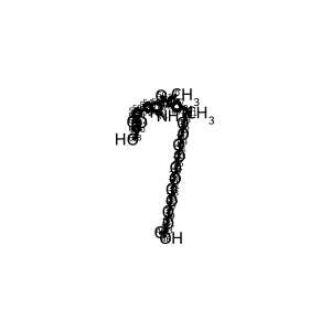 CCCN(Cc1ccc(CN(C)CCOCCOCCOCCOCCOCCOCCOCCOCCOCCOCCC(=O)O)cc1)C(=O)C1=Cc2ccc(-c3cccc(S(=O)(=O)N4CC(CO)C4)c3)cc2N=C(N)C1